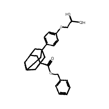 O=C(OCc1ccccc1)C12CC3CC(C1)CC(c1ccc(OCC(O)O)cc1)(C3)C2